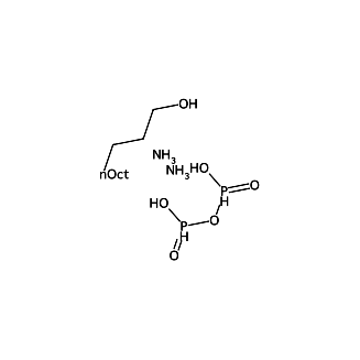 CCCCCCCCCCCO.N.N.O=[PH](O)O[PH](=O)O